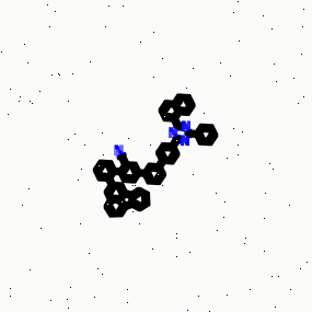 N#Cc1cc(-c2cccc(-c3ccc(-c4nc(-c5ccccc5)nc(-c5cccc6ccccc56)n4)cc3)c2)ccc1-c1ccccc1-c1cc2c3c(cccc3c1)-c1ccccc1-2